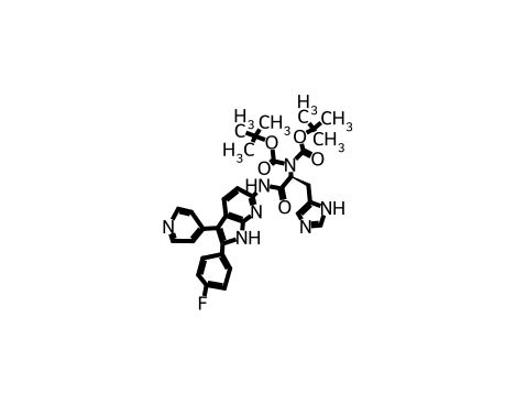 CC(C)(C)OC(=O)N(C(=O)OC(C)(C)C)[C@@H](Cc1cnc[nH]1)C(=O)Nc1ccc2c(-c3ccncc3)c(-c3ccc(F)cc3)[nH]c2n1